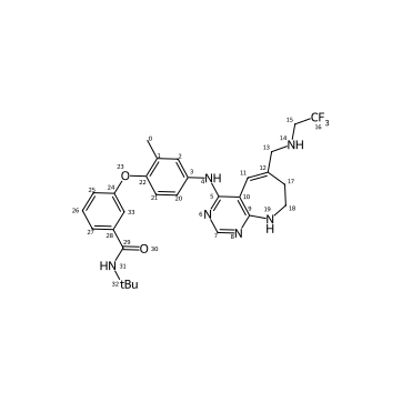 Cc1cc(Nc2ncnc3c2C=C(CNCC(F)(F)F)CCN3)ccc1Oc1cccc(C(=O)NC(C)(C)C)c1